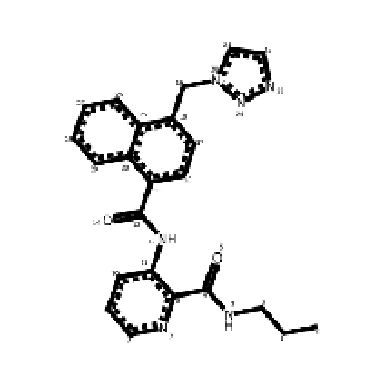 CCCNC(=O)c1ncccc1NC(=O)c1ccc(Cn2ccnn2)c2ccccc12